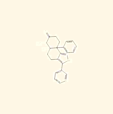 C[C@@H]1C(=O)CCC2(c3ccccc3)c3n[nH]c(-c4cccnc4)c3CC[C@@H]12